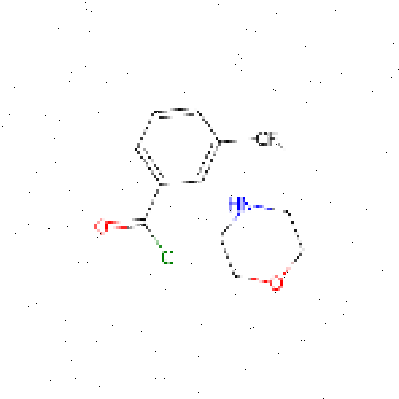 C1COCCN1.O=C(Cl)c1cccc(C(F)(F)F)c1